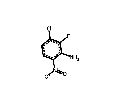 Nc1c([N+](=O)[O-])ccc(Cl)c1F